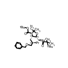 CCCCC(C)(C)C(=O)NC[C@H]1OC(C)(C)N(C(=O)OC(C)(C)C)[C@H]1C[C@H](COCc1ccccc1)C(C)C